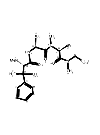 CN[C@H](C(=O)N[C@H](C(=O)N(C)[C@H](C(=O)N(C)CC(=O)O)C(C)C)C(C)(C)C)C(C)(C)c1ccccc1